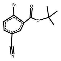 CC(C)(C)OC(=O)c1cc(C#N)ccc1Br